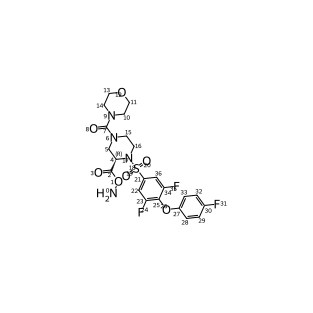 NOC(=O)[C@H]1CN(C(=O)N2CCOCC2)CCN1S(=O)(=O)c1cc(F)c(Oc2ccc(F)cc2)c(F)c1